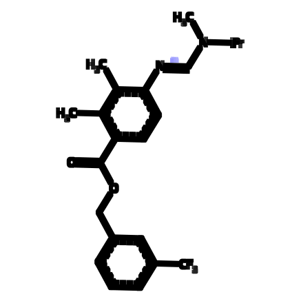 Cc1c(/N=C/N(C)C(C)C)ccc(C(=O)OCc2cccc(C(F)(F)F)c2)c1C